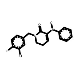 O=C1C([S+]([O-])c2ccccc2)=CCCN1Cc1ccc(F)c(Cl)c1